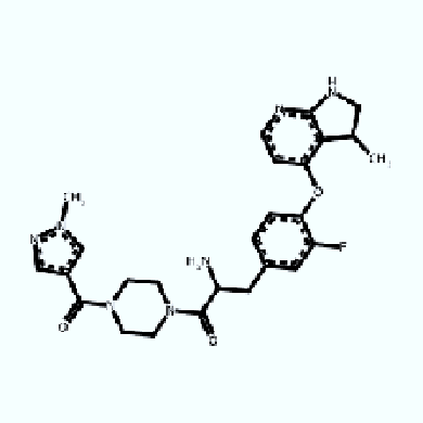 CC1CNc2nccc(Oc3ccc(CC(N)C(=O)N4CCN(C(=O)c5cnn(C)c5)CC4)cc3F)c21